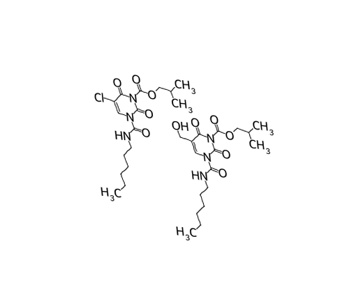 CCCCCCNC(=O)n1cc(CO)c(=O)n(C(=O)OCC(C)C)c1=O.CCCCCCNC(=O)n1cc(Cl)c(=O)n(C(=O)OCC(C)C)c1=O